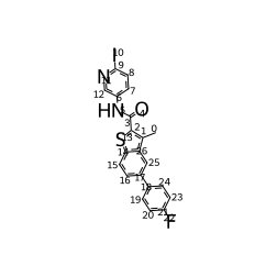 Cc1c(C(=O)Nc2ccc(I)nc2)sc2ccc(-c3ccc(F)cc3)cc12